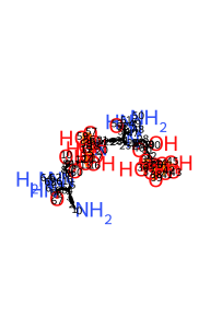 NCC#Cc1cn([C@H]2C[C@@H](O)C(COP(=O)(O)OP(O)(=NCC#Cc3cn([C@H]4C[C@@H](O)C(COP(=O)(O)OP(=O)(O)OP(=O)(O)O)O4)c4nc(N)[nH]c(=O)c34)OP(=O)(O)O)O2)c2nc(N)[nH]c(=O)c12